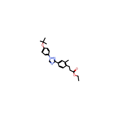 CCOC(=O)CCc1ccc(-c2ncn(-c3ccc(OC(C)(C)C)cc3)n2)cc1C